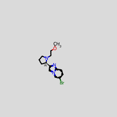 COCCN1CCC[C@@H]1c1cn2cc(Br)ccc2n1